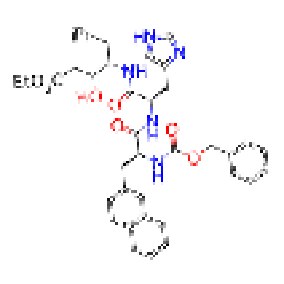 CCOC(=O)CC(O)C(CC(C)C)NC(=O)[C@@H](Cc1c[nH]cn1)NC(=O)[C@H](Cc1ccc2ccccc2c1)NC(=O)OCc1ccccc1